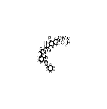 CO/C(=C/c1c(F)cc(C(=O)Nc2nc(-c3cccc(OCC4CCCCC4)c3F)cs2)cc1F)C(=O)O